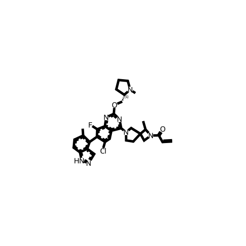 C=CC(=O)N1CC2(CCN(c3nc(OC[C@@H]4CCCN4C)nc4c(F)c(-c5c(C)ccc6[nH]ncc56)c(Cl)cc34)C2)C1C